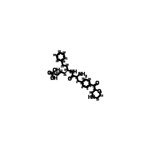 N[C@@H](Cc1ccc(C(=O)C2CNCCO2)cc1)C(=O)N[C@H](CCCP(=O)(O)O)CCc1ccccc1